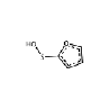 OSc1ccco1